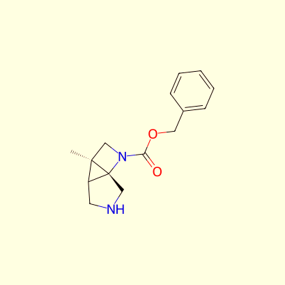 C[C@]12CN(C(=O)OCc3ccccc3)[C@@]13CNCC32